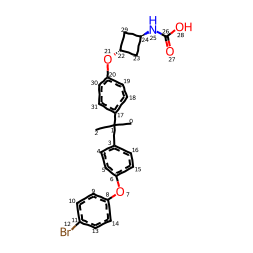 CC(C)(c1ccc(Oc2ccc(Br)cc2)cc1)c1ccc(O[C@H]2C[C@H](NC(=O)O)C2)cc1